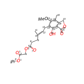 [CH2]C([CH2])OC(=O)COC(=O)CC/C(C)=C/Cc1c(O)c2c(c(C)c1OC)COC2=O